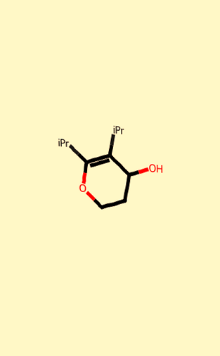 CC(C)C1=C(C(C)C)C(O)CCO1